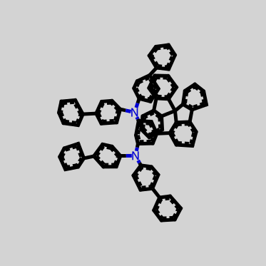 c1ccc(-c2ccc(N(c3ccc(-c4ccccc4)cc3)c3cc(-c4cccc5c4C4(c6ccccc6-c6ccccc64)c4ccccc4-5)cc(N(c4ccc(-c5ccccc5)cc4)c4ccc(-c5ccccc5)cc4)c3)cc2)cc1